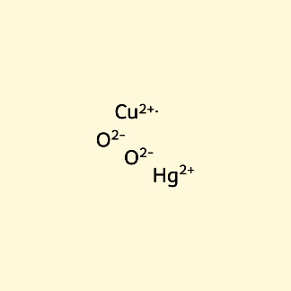 [Cu+2].[Hg+2].[O-2].[O-2]